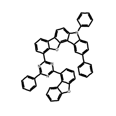 c1ccc(-c2ccc3c(c2)c2c4oc5c(-c6nc(-c7ccccc7)nc(-c7cccc8oc9ccccc9c78)n6)cccc5c4ccc2n3-c2ccccc2)cc1